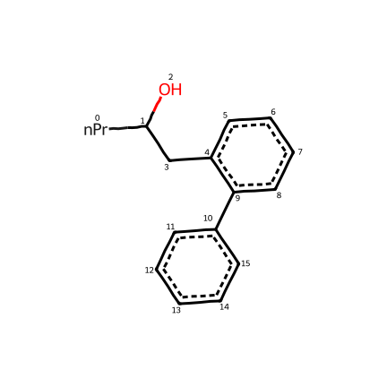 CCCC(O)Cc1ccccc1-c1ccccc1